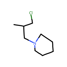 CC(CCl)CN1CCCCC1